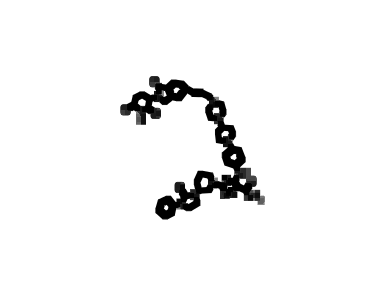 NC(=O)c1nnc(N2CCCC(N3CCN(c4ccccc4)C3=O)C2)nc1Nc1ccc(N2CCC(N3CCN(CC#Cc4ccc5c(c4)CN(C4CCC(=O)NC4=O)C5=O)CC3)CC2)cc1